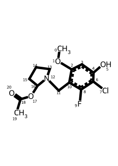 COc1cc(O)c(Cl)c(F)c1CN1CCCC1OC(C)=O